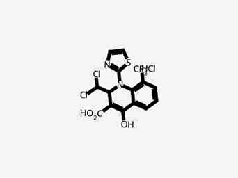 Cl.O=C(O)C1=C(O)c2cccc(C(F)(F)F)c2N(c2nccs2)C1C(Cl)Cl